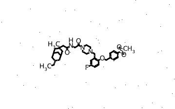 CCC1CC2CC(C1)CC(C)(CC(=O)NCC(=O)N1CCN(Cc3cc(F)ccc3OCc3ccc(S(C)(=O)=O)cc3)CC1)C2